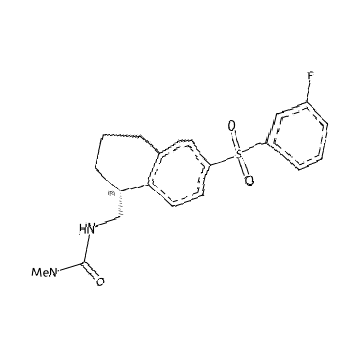 CNC(=O)NC[C@@H]1CCCc2cc(S(=O)(=O)c3cccc(F)c3)ccc21